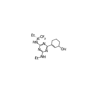 CCNc1nc(N[C@H](CC)C(F)(F)F)nc(C2=CC(O)CCC2)n1